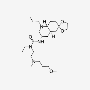 CCCN1C[C@@H](NC(=O)N(CC)CCN(C)CCCOC)C[C@@H]2CC3(CC[C@H]21)OCCO3